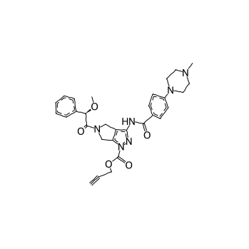 C#CCOC(=O)n1nc(NC(=O)c2ccc(N3CCN(C)CC3)cc2)c2c1CN(C(=O)[C@H](OC)c1ccccc1)C2